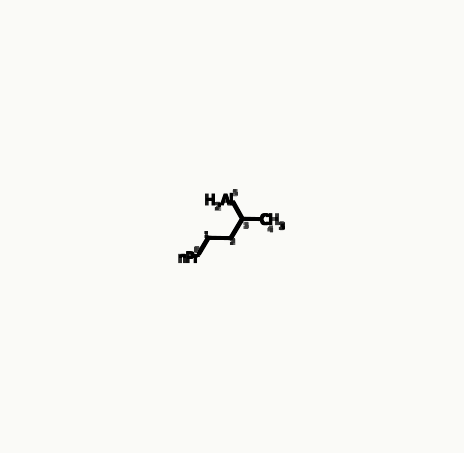 CCCCC[CH](C)[AlH2]